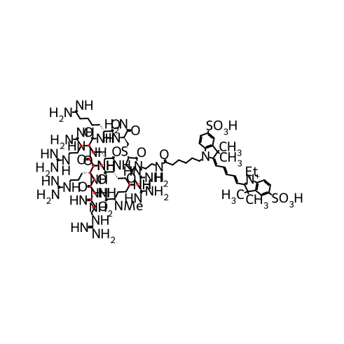 CC[N+]1=C(/C=C/C=C/C=C2/N(CCCCCC(=O)NCCN3C(=O)CC(SC[C@@H](NC(=O)[C@@H](CCCCC(=N)N)NC(=O)[C@@H](CCCNC(=N)N)NC(=O)[C@@H](CCCNC(=N)N)NC(=O)[C@@H](CCCNC(=N)N)NC(=O)[C@@H](CCCNC(=N)N)NC(=O)[C@@H](CCCNC(=N)N)NC(=O)[C@@H](CCCNC(=N)N)NC(=O)[C@@H](CCCNC(=N)N)NC)C(N)=O)C3=O)c3ccc(S(=O)(=O)O)cc3C2(C)C)C(C)(C)c2cc(S(=O)(=O)O)ccc21